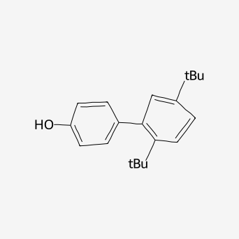 CC(C)(C)c1ccc(C(C)(C)C)c(-c2ccc(O)cc2)c1